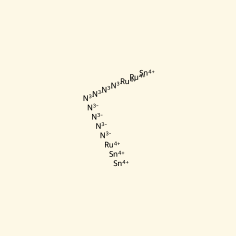 [N-3].[N-3].[N-3].[N-3].[N-3].[N-3].[N-3].[N-3].[Ru+4].[Ru+4].[Ru+4].[Sn+4].[Sn+4].[Sn+4]